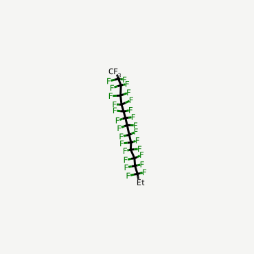 CCC(F)(F)C(F)(F)C(F)(F)C(F)(F)C(F)(F)C(F)(F)C(F)(F)C(F)(F)C(F)(F)C(F)(F)C(F)(F)C(F)(F)C(F)(F)C(F)(F)F